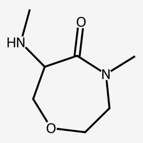 CNC1COCCN(C)C1=O